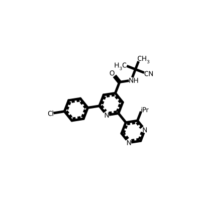 CC(C)c1ncncc1-c1cc(C(=O)NC(C)(C)C#N)cc(-c2ccc(Cl)cc2)n1